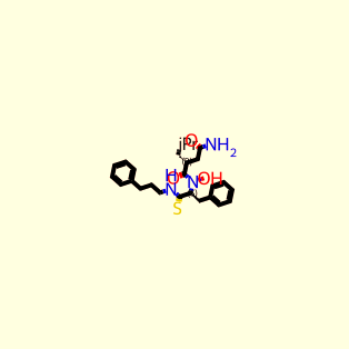 CC(C)C[C@H](CC(N)=O)C(=O)N(O)[C@@H](Cc1ccccc1)C(=S)NCCCc1ccccc1